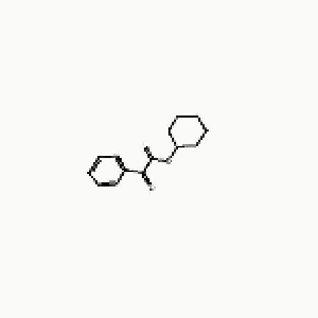 O=C(OC1CCCCC1)C(=O)c1ccccc1